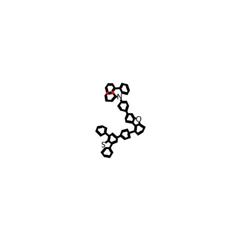 c1ccc(-c2ccccc2N(c2ccccc2)c2ccc(-c3ccc4c(c3)oc3cccc(-c5ccc(-c6cc(-c7ccccc7)c7sc8ccccc8c7c6)cc5)c34)cc2)cc1